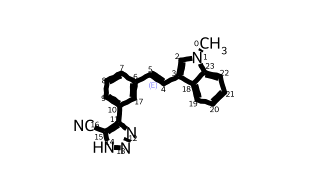 Cn1cc(/C=C/c2cccc(-c3nn[nH]c3C#N)c2)c2ccccc21